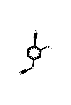 Cc1cc(OC#N)ccc1C#N